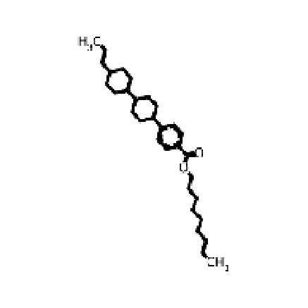 CCCCCCCCCOC(=O)c1ccc(C2CCC(C3CCC(CCC)CC3)CC2)cc1